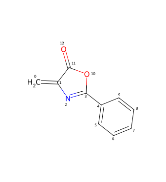 C=C1N=C(c2ccccc2)OC1=O